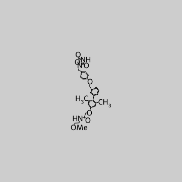 COCCNC(=O)COc1cc(C)c(-c2cccc(COc3ccc(Cn4oc(=O)[nH]c4=O)cc3)c2)c(C)c1